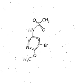 COc1ncc(NS(C)(=O)=O)cc1Br